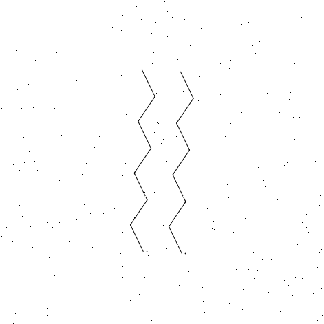 [CH2]CCCCCCC.[CH2]CCCCCCC